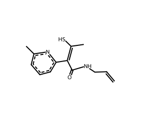 C=CCNC(=O)C(=C(C)S)c1cccc(C)n1